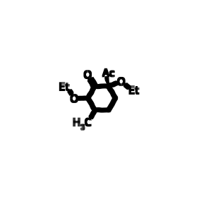 CCOC1C(=O)[C@@](OCC)(C(C)=O)CCC1C